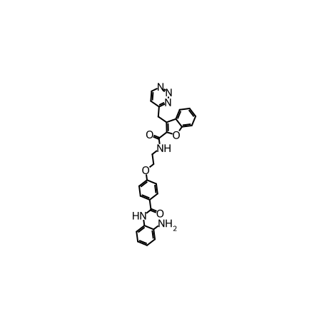 Nc1ccccc1NC(=O)c1ccc(OCCNC(=O)c2oc3ccccc3c2Cc2ccnnn2)cc1